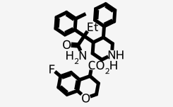 CCC(C(N)=O)(c1ccccc1C)C1CCNCC1c1ccccc1.O=C(O)C1CCOc2ccc(F)cc21